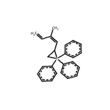 C=CC(C)=CC1CP1(c1ccccc1)(c1ccccc1)c1ccccc1